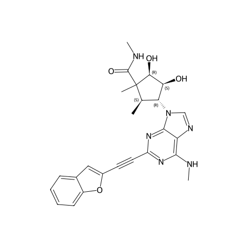 CNC(=O)C1(C)[C@H](C)[C@@H](n2cnc3c(NC)nc(C#Cc4cc5ccccc5o4)nc32)[C@H](O)[C@@H]1O